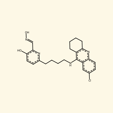 O/N=C/c1nc(CCCCNc2c3c(nc4ccc(Cl)cc24)CCCC3)ccc1O